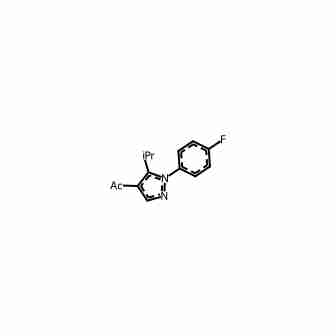 CC(=O)c1cnn(-c2ccc(F)cc2)c1C(C)C